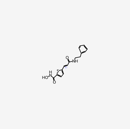 O=C(/C=C/c1ccc(C(=O)NO)s1)NCCc1ccccc1